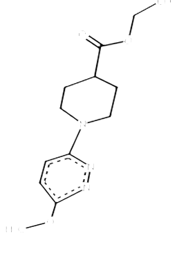 CCOC(=O)C1CCN(c2ccc(OC)nn2)CC1